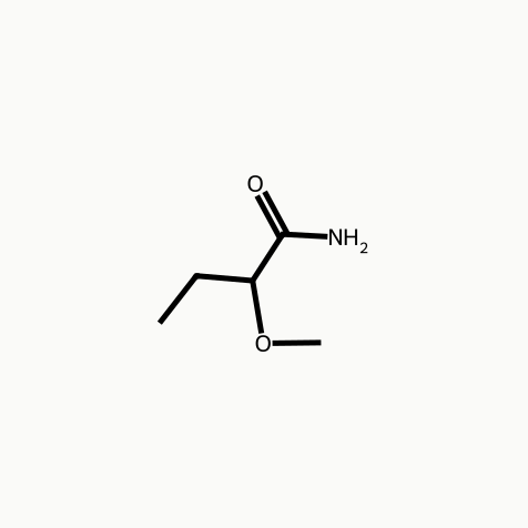 CCC(OC)C(N)=O